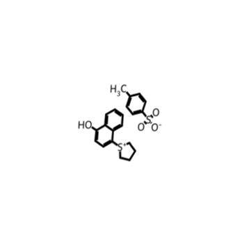 Cc1ccc(S(=O)(=O)[O-])cc1.Oc1ccc([S+]2CCCC2)c2ccccc12